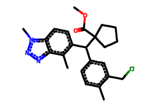 COC(=O)C1(C(c2ccc(C)c(CCl)c2)c2ccc3c(nnn3C)c2C)CCCC1